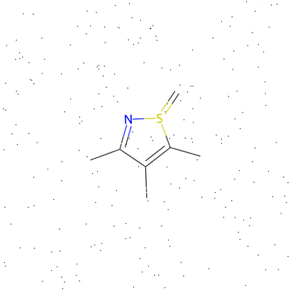 C=S1N=C(C)C(C)=C1C